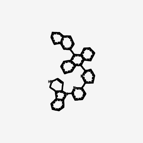 C1=Cc2c(c3ccccc3n2-c2cccc(-c3cccc(-c4c5ccccc5c(-c5ccc6ccccc6c5)c5ccccc45)n3)n2)CN1